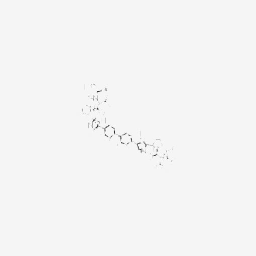 CCN(CC)[C@@H](C(=O)N1CCCC1c1ncc(-c2ccc(-c3ccc(-c4cnc([C@@H]5CCCN5C(=O)[C@H](C(C)C)N(C)C(=O)O)[nH]4)cc3)cc2)[nH]1)C(C)C